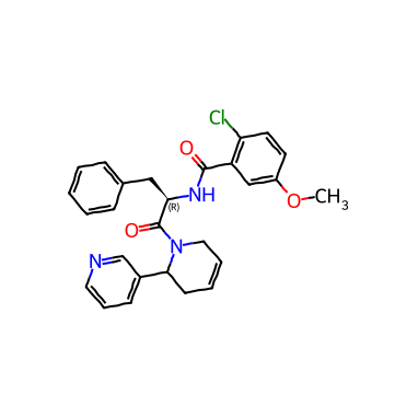 COc1ccc(Cl)c(C(=O)N[C@H](Cc2ccccc2)C(=O)N2CC=CCC2c2cccnc2)c1